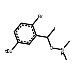 C[SiH](C)OC(I)c1cc(C(C)(C)C)ccc1Br